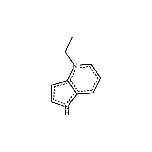 CC[n+]1cccc2[nH]ccc21